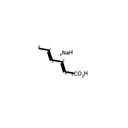 C/C=C/C=C/C(=O)O.[NaH]